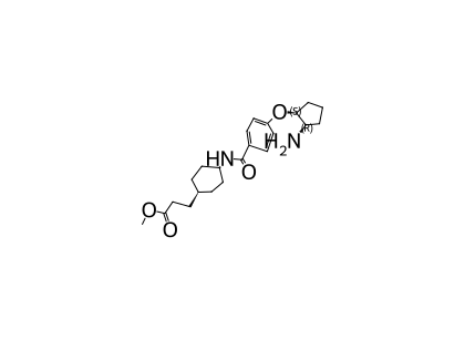 COC(=O)CC[C@H]1CC[C@H](NC(=O)c2ccc(O[C@H]3CCC[C@H]3N)cc2)CC1